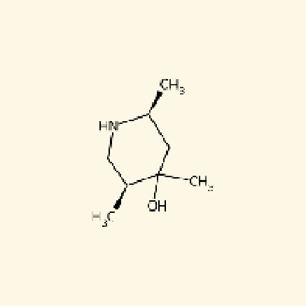 C[C@H]1CC(C)(O)[C@@H](C)CN1